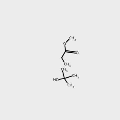 CC(C)(C)O.CCC(=O)OC